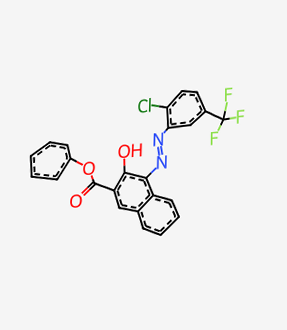 O=C(Oc1ccccc1)c1cc2ccccc2c(N=Nc2cc(C(F)(F)F)ccc2Cl)c1O